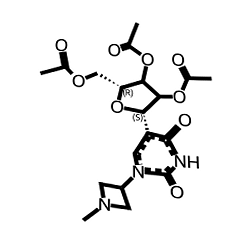 CC(=O)OC[C@H]1O[C@@H](c2cn(C3CN(C)C3)c(=O)[nH]c2=O)C(OC(C)=O)C1OC(C)=O